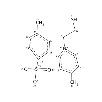 Cc1cc[n+](CCS)cc1.Cc1ccc(S(=O)(=O)[O-])cc1